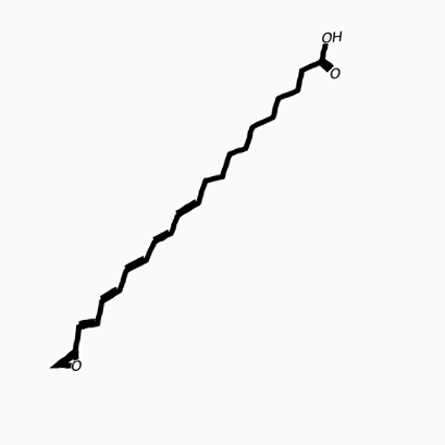 O=C(O)CCCCCCCCCC=CC=CC=CC=CC=CC1=CO1